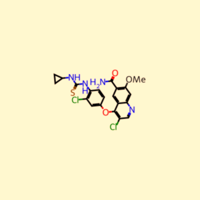 COc1cc2ncc(Cl)c(Oc3ccc(NC(=S)NC4CC4)c(Cl)c3)c2cc1C(N)=O